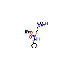 CC(C)OC(=O)[C@H](CCCCNC(=O)O)NCc1ccccc1